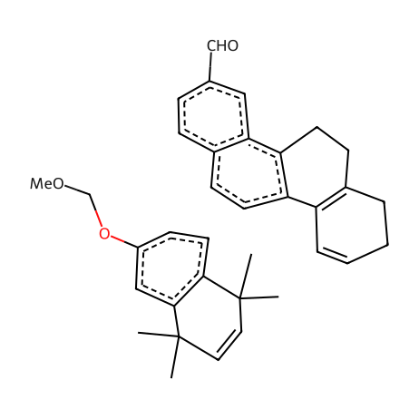 COCOc1ccc2c(c1)C(C)(C)C=CC2(C)C.O=Cc1ccc2ccc3c(c2c1)CCC1=C3C=CCC1